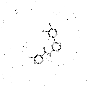 Nc1cc(C(=O)Nc2ncnc(-c3ccc(Cl)c(Cl)c3)n2)ccn1